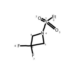 CCS(=O)(=O)N1CC(F)(F)C1